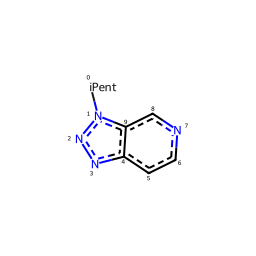 CCCC(C)n1nnc2ccncc21